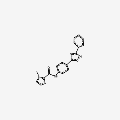 Cn1cccc1C(=O)Nc1ccc(-c2nc(-c3ccccc3)no2)cc1